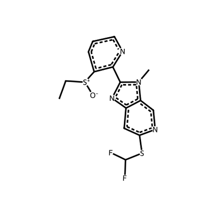 CC[S+]([O-])c1cccnc1-c1nc2cc(SC(F)F)ncc2n1C